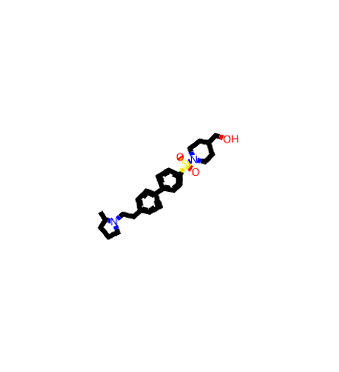 CC1CCCN1CCc1ccc(-c2ccc(S(=O)(=O)N3CCC(CO)CC3)cc2)cc1